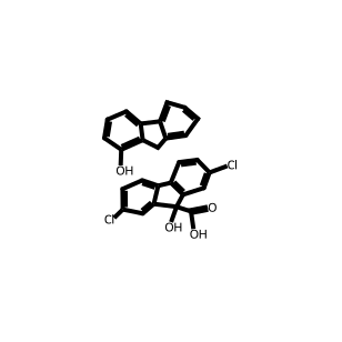 O=C(O)C1(O)c2cc(Cl)ccc2-c2ccc(Cl)cc21.Oc1cccc2c1Cc1ccccc1-2